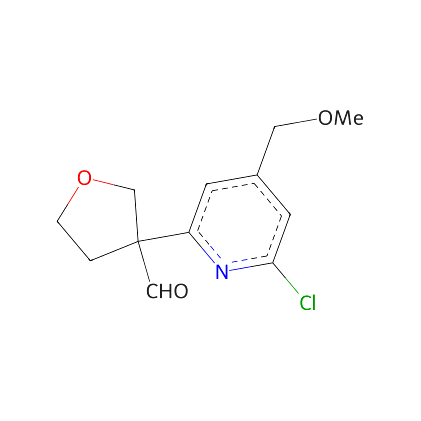 COCc1cc(Cl)nc(C2(C=O)CCOC2)c1